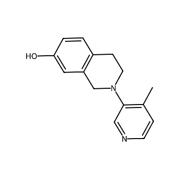 Cc1ccncc1N1CCc2ccc(O)cc2C1